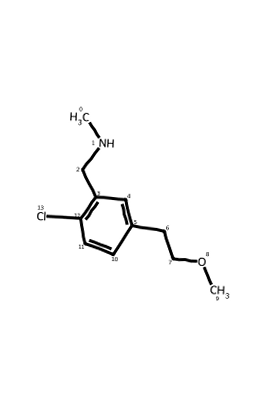 CNCc1cc(CCOC)ccc1Cl